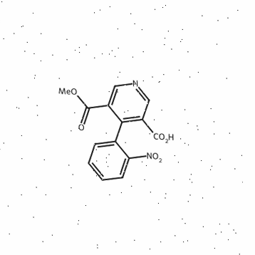 COC(=O)c1cncc(C(=O)O)c1-c1ccccc1[N+](=O)[O-]